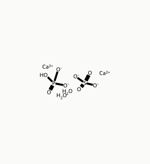 O.O.O=P([O-])([O-])O.O=S(=O)([O-])[O-].[Ca+2].[Ca+2]